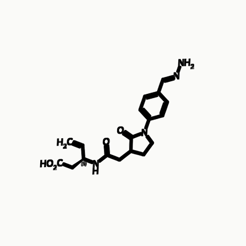 C=C[C@H](CC(=O)O)NC(=O)CC1CCN(c2ccc(C=NN)cc2)C1=O